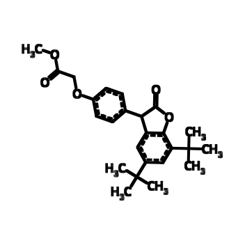 COC(=O)COc1ccc(C2C(=O)Oc3c2cc(C(C)(C)C)cc3C(C)(C)C)cc1